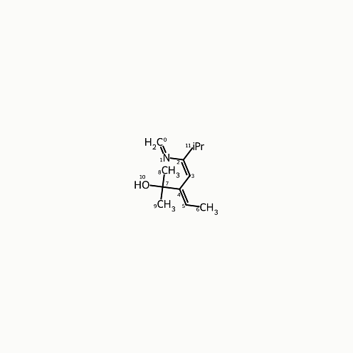 C=N/C(=C\C(=C/C)C(C)(C)O)C(C)C